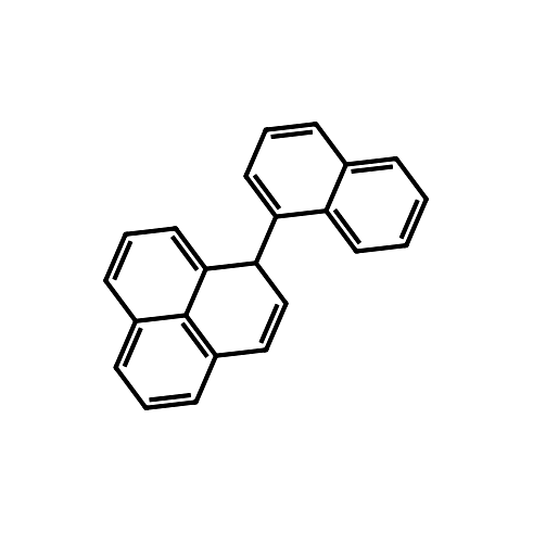 C1=CC(c2cccc3ccccc23)c2cccc3cccc1c23